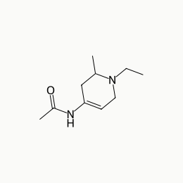 CCN1CC=C(NC(C)=O)CC1C